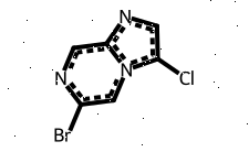 Clc1cnc2cnc(Br)cn12